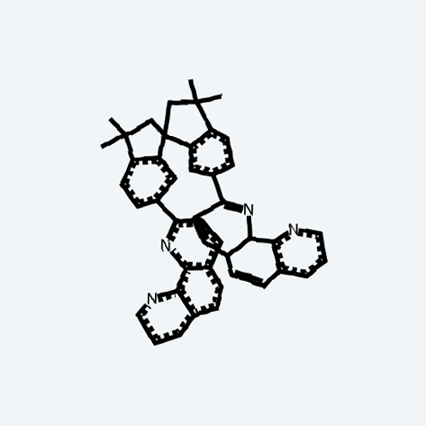 CC1(C)CC2(CC(C)(C)c3ccc(-c4ccc5ccc6cccnc6c5n4)cc32)c2cc(C3=NC4c5ncccc5C=CC4C=C3)ccc21